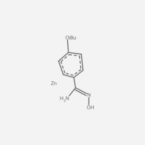 CC(C)COc1ccc(C(N)=NO)cc1.[Zn]